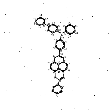 C1=C(c2ccccc2)Cc2ccc3c4c(ccc1c24)C=C(c1ccc(N(c2ccccc2)c2ccc(-c4cccnc4)cc2)cc1)C3